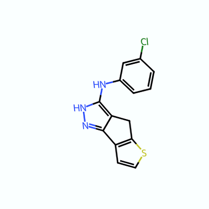 Clc1cccc(Nc2[nH]nc3c2Cc2sccc2-3)c1